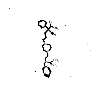 CC(C)N(CCN1CCN(CCCC(C#N)(c2ccccc2)C(C)C)CC1)Cc1ccccc1